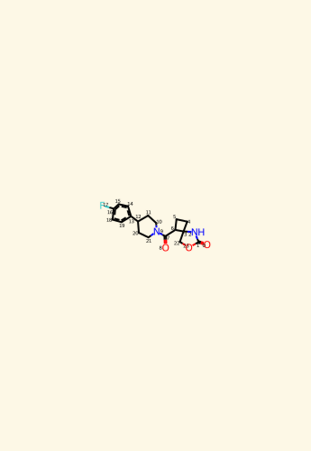 O=C1NC2(CCC2C(=O)N2CCC(c3ccc(F)cc3)CC2)CO1